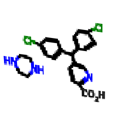 C1CNCCN1.O=C(O)c1ccc(C(c2ccc(Cl)cc2)c2ccc(Cl)cc2)cn1